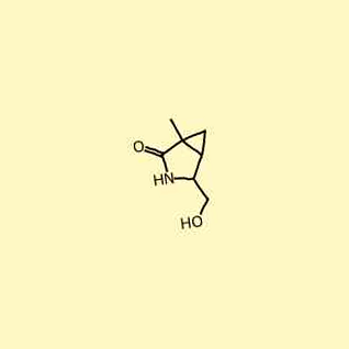 CC12CC1C(CO)NC2=O